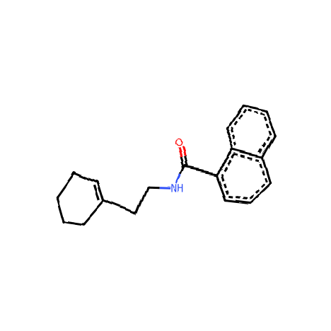 O=C(NCCC1=CCCCC1)c1cccc2ccccc12